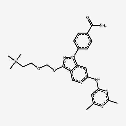 Cc1cc(Nc2cc3c(cn2)c(OCOCC[Si](C)(C)C)nn3-c2ccc(C(N)=O)cc2)nc(C)n1